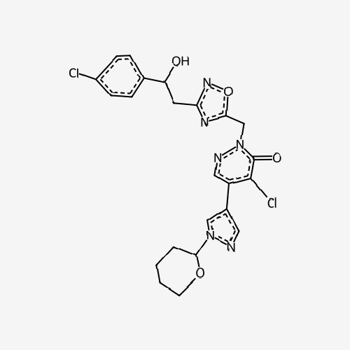 O=c1c(Cl)c(-c2cnn(C3CCCCO3)c2)cnn1Cc1nc(CC(O)c2ccc(Cl)cc2)no1